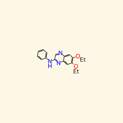 CCOc1cc2ncc(Nc3ccccc3)nc2cc1OCC